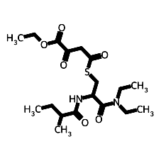 CCOC(=O)C(=O)CC(=O)SCC(NC(=O)C(C)CC)C(=O)N(CC)CC